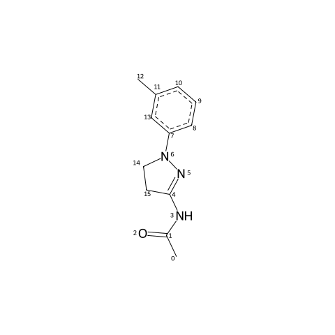 CC(=O)NC1=NN(c2cccc(C)c2)CC1